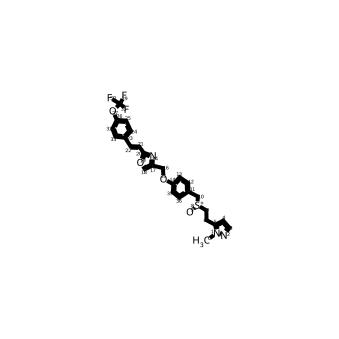 Cn1nccc1CC[S+]([O-])Cc1ccc(OCc2coc(/C=C/c3ccc(OC(F)(F)F)cc3)n2)cc1